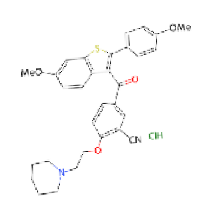 COc1ccc(-c2sc3cc(OC)ccc3c2C(=O)c2ccc(OCCN3CCCCC3)c(C#N)c2)cc1.Cl